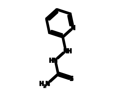 NC(=S)NNc1ccccn1